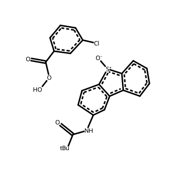 CC(C)(C)C(=O)Nc1ccc2c(c1)c1ccccc1[s+]2[O-].O=C(OO)c1cccc(Cl)c1